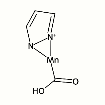 O=[C](O)[Mn]1[n]2ccc[n+]21